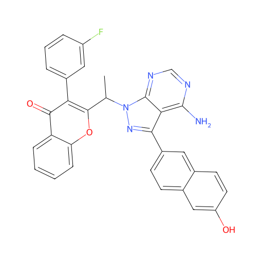 CC(c1oc2ccccc2c(=O)c1-c1cccc(F)c1)n1nc(-c2ccc3cc(O)ccc3c2)c2c(N)ncnc21